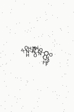 COc1ccc(-c2nc(C(=O)NCCNC(=O)C3(C)CC3)c([C@H](C)N)o2)c2ccc(C(F)(F)F)nc12